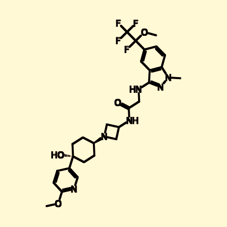 COc1ccc([C@]2(O)CC[C@H](N3CC(NC(=O)CNc4nn(C)c5ccc(C(F)(OC)C(F)(F)F)cc45)C3)CC2)cn1